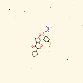 CSc1ccc(C(CCN(C)C)Oc2ccc3c(=O)c(-c4ccccc4)coc3c2)cc1